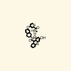 CNC(=O)c1cc(Oc2ccc3c(c2)CC(NC(=O)c2c4ccccc4nc4cc(O)cc(O)c24)CC3)ccn1